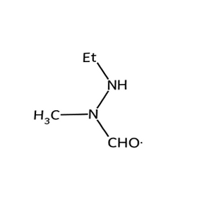 CCNN(C)[C]=O